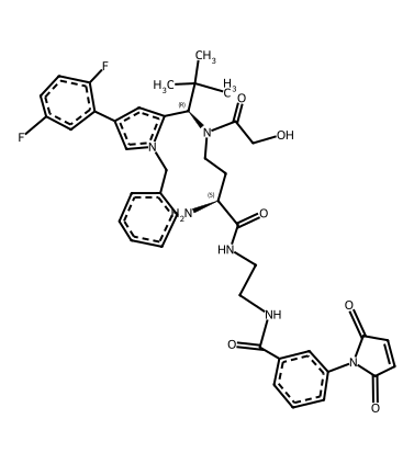 CC(C)(C)[C@H](c1cc(-c2cc(F)ccc2F)cn1Cc1ccccc1)N(CC[C@H](N)C(=O)NCCNC(=O)c1cccc(N2C(=O)C=CC2=O)c1)C(=O)CO